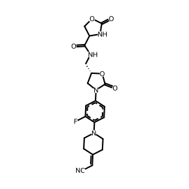 N#CC=C1CCN(c2ccc(N3C[C@H](CNC(=O)C4COC(=O)N4)OC3=O)cc2F)CC1